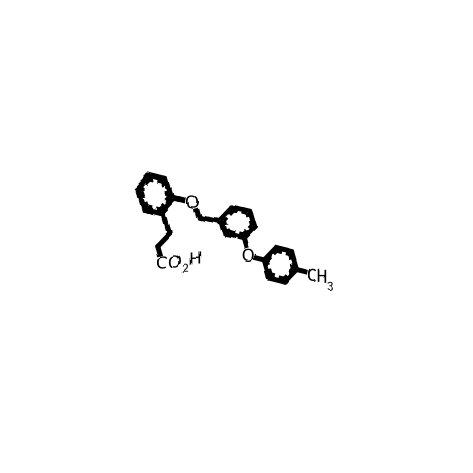 Cc1ccc(Oc2cccc(COc3ccccc3CCC(=O)O)c2)cc1